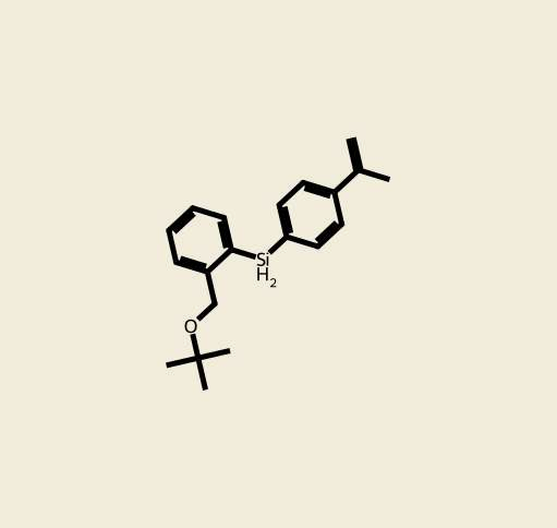 C=C(C)c1ccc([SiH2]c2ccccc2COC(C)(C)C)cc1